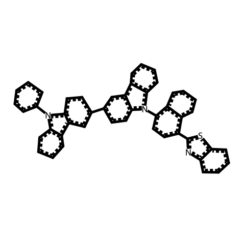 c1ccc(-n2c3ccccc3c3cc(-c4ccc5c(c4)c4ccccc4n5-c4ccc(-c5nc6ccccc6s5)c5ccccc45)ccc32)cc1